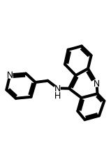 c1cncc(CNc2c3ccccc3nc3ccccc23)c1